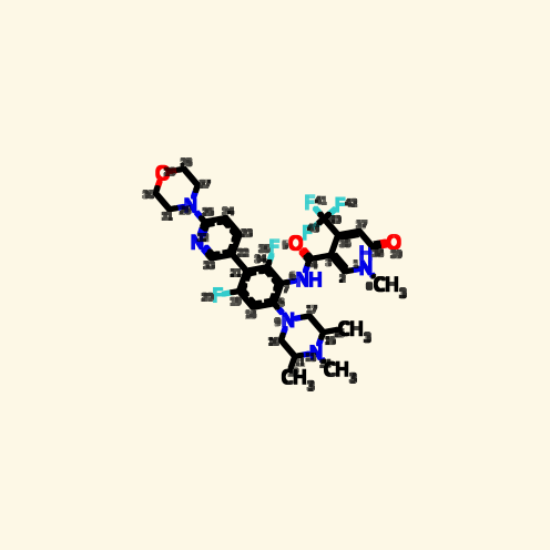 CN/C=C(C(=O)Nc1c(N2CC(C)N(C)C(C)C2)cc(F)c(-c2ccc(N3CCOCC3)nc2)c1F)\C(=C/C=O)C(F)(F)F